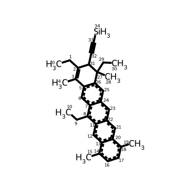 CCC1=C(C)c2cc3c(CC)c4cc5c(C)ccc(C)c5cc4cc3cc2C(C)(CC)C1C#C[SiH3]